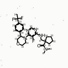 CN(C)C(=O)C1(CNc2ncnc(N3CCOCC3c3ccc(C(C)(F)F)cc3)c2F)CCCC1